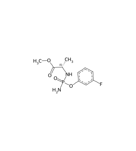 COC(=O)[C@H](C)NP(N)(=O)Oc1cccc(F)c1